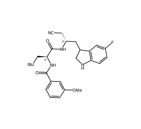 COc1cccc(C(=O)N[C@@H](CC(C)(C)C)C(=O)N[C@H](CC#N)CC2CNc3ccc(F)cc32)c1